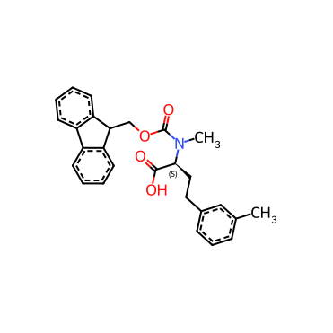 Cc1cccc(CC[C@@H](C(=O)O)N(C)C(=O)OCC2c3ccccc3-c3ccccc32)c1